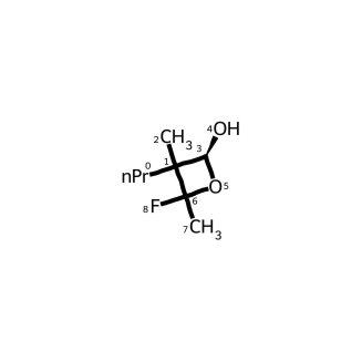 CCCC1(C)[C@@H](O)OC1(C)F